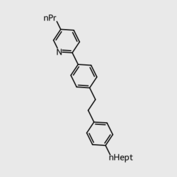 CCCCCCCc1ccc(CCc2ccc(-c3ccc(CCC)cn3)cc2)cc1